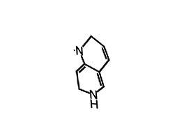 C1=CC2=CNCC=C2[N]C1